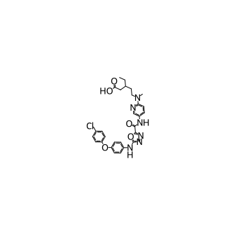 CCC(CCN(C)c1ccc(NC(=O)c2nnc(Nc3ccc(Oc4ccc(Cl)cc4)cc3)o2)cn1)CC(=O)O